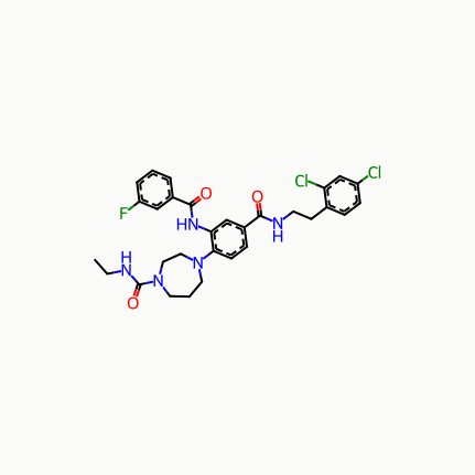 CCNC(=O)N1CCCN(c2ccc(C(=O)NCCc3ccc(Cl)cc3Cl)cc2NC(=O)c2cccc(F)c2)CC1